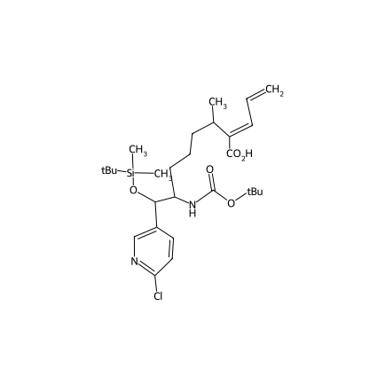 C=C/C=C(/C(=O)O)C(C)CCCC(NC(=O)OC(C)(C)C)C(O[Si](C)(C)C(C)(C)C)c1ccc(Cl)nc1